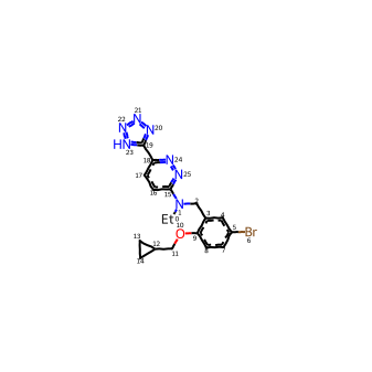 CCN(Cc1cc(Br)ccc1OCC1CC1)c1ccc(-c2nnn[nH]2)nn1